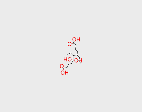 CCCC(CCCC(=O)O)C(CC)C(O)(O)CCCC(=O)O